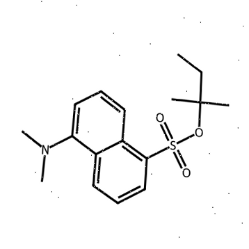 CCC(C)(C)OS(=O)(=O)c1cccc2c(N(C)C)cccc12